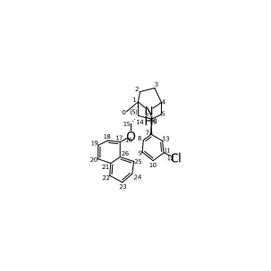 CC12CCC(C[C@@H](c3cccc(Cl)c3)[C@@H]1COc1cccc3ccccc13)N2